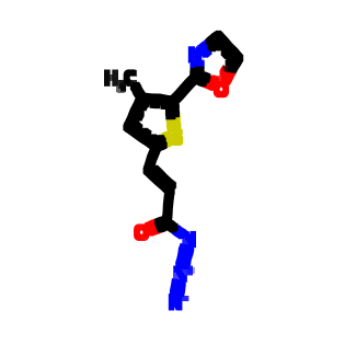 Cc1cc(/C=C/C(=O)N=[N+]=[N-])sc1-c1ncco1